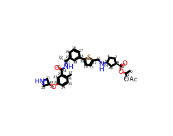 CC(=O)OC(C)OC(=O)[C@@H]1CC[C@H](NCc2ccc(-c3cccc([C@@H](C)NC(=O)c4cc(OC5CNC5)ccc4C)c3)s2)C1